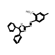 Cc1ccc(/N=N/c2nc(-c3ccccc3)c(-c3ccccc3)[nH]2)c(C(=O)O)c1